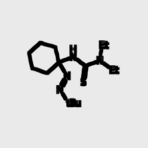 CCN(CC)C(=S)NC1(/N=N/C(C)(C)C)CCCCC1